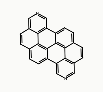 c1cc2ccc3c4cncc5ccc6ccc7c8cncc1c8c2c3c7c6c54